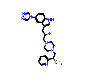 C[C@H](CN1CCN(C[C@H](F)Cc2c[nH]c3ccc(-n4cnnc4)cc23)CC1)c1ccccn1